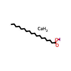 CCCCCCCCCCCCCCCCCC(=O)OI.[CaH2]